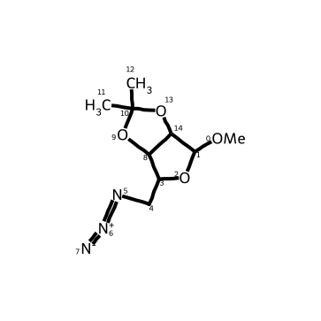 COC1OC(CN=[N+]=[N-])C2OC(C)(C)OC12